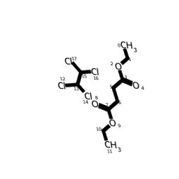 CCOC(=O)CCC(=O)OCC.ClC(Cl)C(Cl)Cl